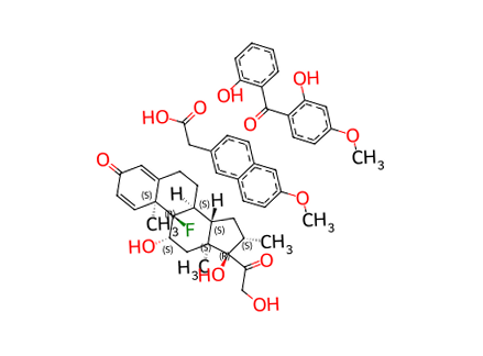 COc1ccc(C(=O)c2ccccc2O)c(O)c1.COc1ccc2cc(CC(=O)O)ccc2c1.C[C@H]1C[C@H]2[C@@H]3CCC4=CC(=O)C=C[C@]4(C)[C@@]3(F)[C@@H](O)C[C@]2(C)[C@@]1(O)C(=O)CO